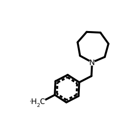 [CH2]c1ccc(CN2CCCCCC2)cc1